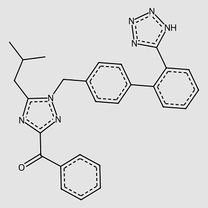 CC(C)Cc1nc(C(=O)c2ccccc2)nn1Cc1ccc(-c2ccccc2-c2nnn[nH]2)cc1